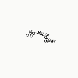 CCc1cc(C=CC(=O)CC(=O)C=Cc2ccc(OC(=O)C3(C(=O)CC(C)C)CC3)cc2Br)ccc1OC(=O)C1CCCCC1